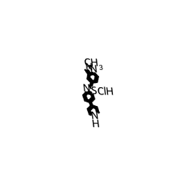 Cl.Cn1cc2cc(-c3nc4ccc(C5=CCNCC5)cc4s3)ccc2n1